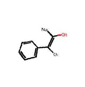 N#CC(=[C](O)[Na])c1ccccc1